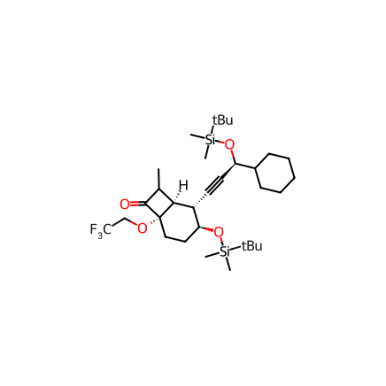 CC1C(=O)[C@]2(OCC(F)(F)F)CC[C@H](O[Si](C)(C)C(C)(C)C)[C@@H](C#C[C@@H](O[Si](C)(C)C(C)(C)C)C3CCCCC3)[C@H]12